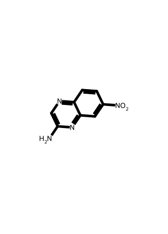 Nc1cnc2ccc([N+](=O)[O-])cc2n1